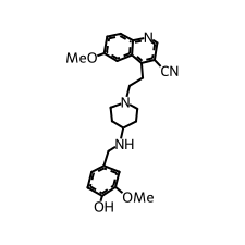 COc1ccc2ncc(C#N)c(CCN3CCC(NCc4ccc(O)c(OC)c4)CC3)c2c1